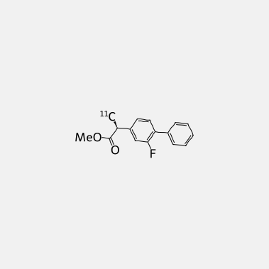 COC(=O)[C@@H]([11CH3])c1ccc(-c2ccccc2)c(F)c1